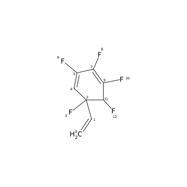 C=CC1(F)C=C(F)C(F)=C(F)C1F